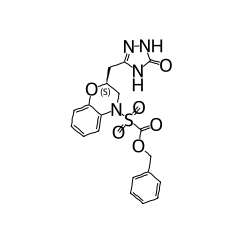 O=C(OCc1ccccc1)S(=O)(=O)N1C[C@H](Cc2n[nH]c(=O)[nH]2)Oc2ccccc21